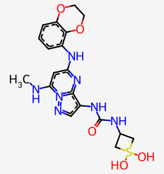 CNc1cc(Nc2cccc3c2OCCO3)nc2c(NC(=O)NC3CS(O)(O)C3)cnn12